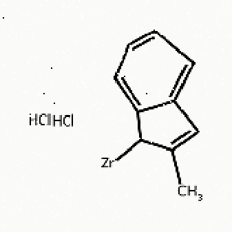 CC1=Cc2ccccc2[CH]1[Zr].Cl.Cl